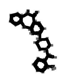 O=C1Nc2ccccc2Oc2nc(N3CCN(C(=O)c4ccccc4C(F)(F)F)CC3)ccc21